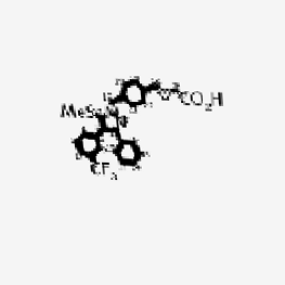 CSc1c(-c2cccc(C(F)(F)F)c2)c(-c2ccccc2)nn1CC1CCC(COCC(=O)O)CC1